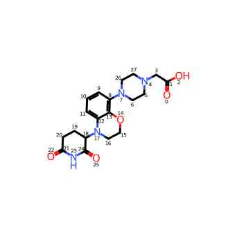 O=C(O)CN1CCN(c2cccc3c2OCCN3C2CCC(=O)NC2=O)CC1